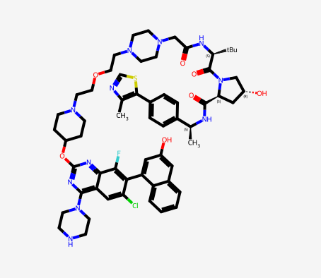 Cc1ncsc1-c1ccc([C@H](C)NC(=O)[C@@H]2C[C@@H](O)CN2C(=O)[C@@H](NC(=O)CN2CCN(CCOCCN3CCC(Oc4nc(N5CCNCC5)c5cc(Cl)c(-c6cc(O)cc7ccccc67)c(F)c5n4)CC3)CC2)C(C)(C)C)cc1